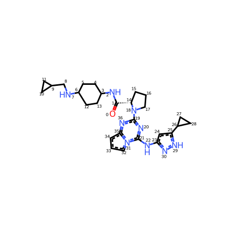 O=C(NC1CCC(NCC2CC2)CC1)[C@@H]1CCCN1c1nc(Nc2cc(C3CC3)[nH]n2)n2cccc2n1